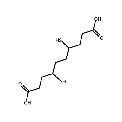 O=C(O)CCC(S)CCC(S)CCC(=O)O